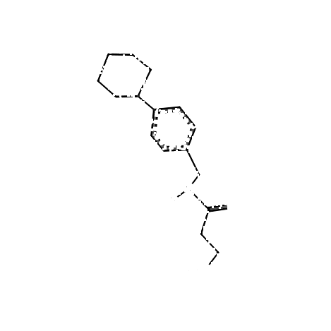 CCOC(=O)CCC(=S)N(N)Cc1ccc(C2CCCCC2)cc1